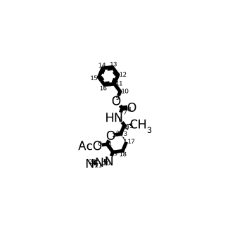 CC(=O)OC1O[C@H]([C@@H](C)NC(=O)OCc2ccccc2)CCC1N=[N+]=[N-]